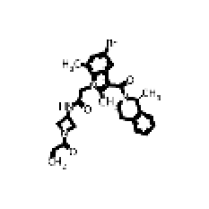 C=CC(=O)N1CC(NC(=O)Cn2c(C)c(C(=O)N3CCc4ccccc4[C@H]3C)c3cc(Br)cc(C)c32)C1